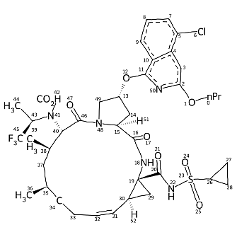 CCCOc1cc2c(Cl)cccc2c(O[C@@H]2C[C@H]3C(=O)N[C@]4(C(=O)NS(=O)(=O)C5CC5)C[C@H]4C=CCC[C@@H](C)C[C@@H](C)[C@H](N(C(=O)O)[C@H](C)C(F)(F)F)C(=O)N3C2)n1